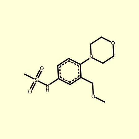 COCc1cc(NS(C)(=O)=O)ccc1N1CCOCC1